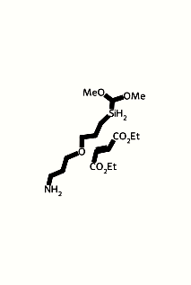 CCOC(=O)C=CC(=O)OCC.COC(OC)[SiH2]CCCOCCCN